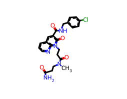 CN(CCC(N)=O)C(=O)CCn1c(=O)c(C(=O)NCc2ccc(Cl)cc2)cc2cccnc21